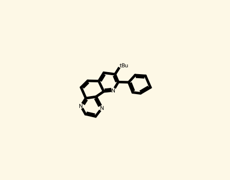 CC(C)(C)c1cc2ccc3nccnc3c2nc1-c1ccccc1